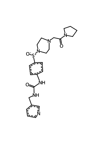 O=C(NCc1cccnc1)Nc1ccc([S+]([O-])N2CCN(CC(=O)N3CCCC3)CC2)cc1